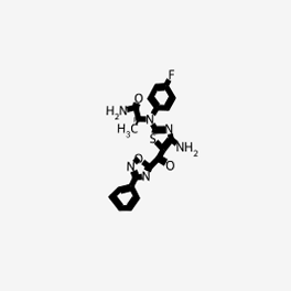 C[C@H](C(N)=O)N(c1ccc(F)cc1)c1nc(N)c(C(=O)c2nc(-c3ccccc3)no2)s1